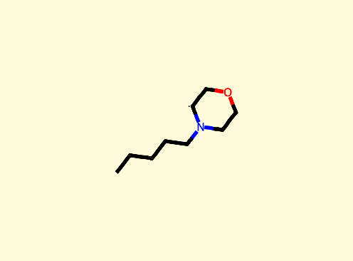 CCCCCN1[CH]COCC1